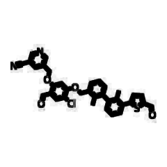 Cc1c(COc2cc(OCc3cncc(C#N)c3)c(C=O)cc2Cl)cccc1-c1cccc(-c2ccc(C=O)s2)c1C